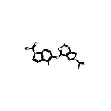 CC(=O)N1Cc2ncnc(Oc3ccc4c(ccn4C(=O)O)c3C)c2C1